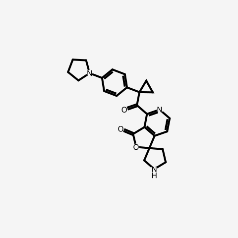 O=C1OC2(CCNC2)c2ccnc(C(=O)C3(c4ccc(N5CCCC5)cc4)CC3)c21